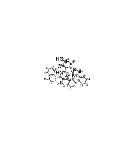 CCCCCN(Cc1ccc(-c2ccccc2-c2nnn[nH]2)cc1)C(=O)[C@H](Cc1ccccc1)NC(=O)C(CC(C)C)C(=O)NO